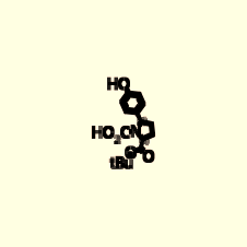 CC(C)(C)OC(=O)[C@@H]1CC[C@H](c2ccc(O)cc2)N1C(=O)O